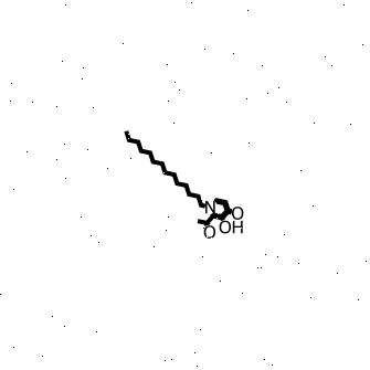 CCCCCCCCCCCCCCn1ccc(=O)c(O)c1C(C)=O